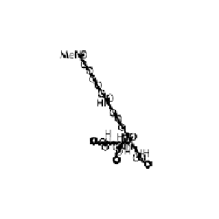 CNC(=O)CCOCCOCCOCCOCCOCCC(=O)NCCCOCCOCCOCCCNC(=O)[C@H](CCCCNC(=O)OCc1ccccc1)NC(=O)[C@H](CCCCNC(=O)OCc1ccccc1)NC(=O)OCc1ccccc1